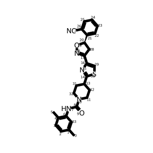 Cc1ccc(C)c(NC(=O)N2CCC(c3nc(C4=NO[C@@H](c5ccccc5C#N)C4)cs3)CC2)c1